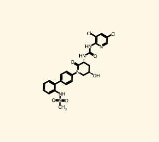 CS(=O)(=O)Nc1ccccc1-c1ccc(N2C[C@H](O)C[C@@H](NC(=O)Nc3ncc(Cl)cc3Cl)C2=O)cc1